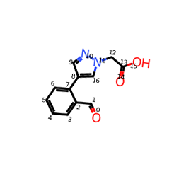 O=Cc1ccccc1-c1cnn(CC(=O)O)c1